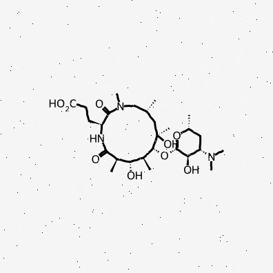 C[C@H]1CN(C)C(=O)[C@H](CCC(=O)O)NC(=O)[C@H](C)[C@@H](O)[C@H](C)[C@@H](O[C@@H]2O[C@H](C)C[C@H](N(C)C)[C@H]2O)[C@](C)(O)C1